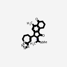 CN/C(C)=C1\C(=O)c2c(cc(C)c3c2CCCC3=O)C1C1=Cc2nnnn2CCC1